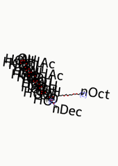 CCCCCCCC/C=C\CCCCCCCCCCCCCCCC(=O)N[C@@H](CO[C@@H]1OC(CO)[C@@H](O[C@@H]2OC(CO)[C@H](O[C@@H]3OC(CO)[C@H](O)[C@H](O[C@@H]4OC(CO)[C@H](O)[C@H](O[C@@H]5OC(CO)[C@H](O)[C@H](O[C@H]6OC(CO)[C@H](O)[C@H](O)C6NC(C)=O)C5O)C4NC(C)=O)C3O)[C@H](O)C2O)[C@H](O)C1O)[C@H](O)/C=C/CCCCCCCCCCCCC